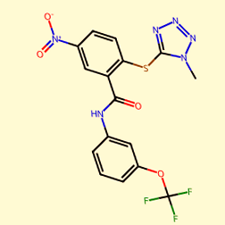 Cn1nnnc1Sc1ccc([N+](=O)[O-])cc1C(=O)Nc1cccc(OC(F)(F)F)c1